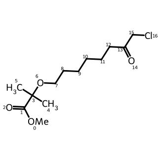 COC(=O)C(C)(C)OCCCCCCC(=O)CCl